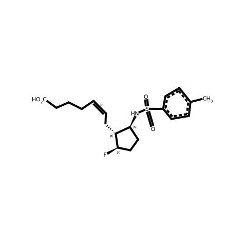 Cc1ccc(S(=O)(=O)N[C@H]2CC[C@@H](F)[C@@H]2C/C=C\CCCC(=O)O)cc1